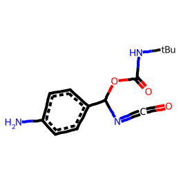 CC(C)(C)NC(=O)OC(N=C=O)c1ccc(N)cc1